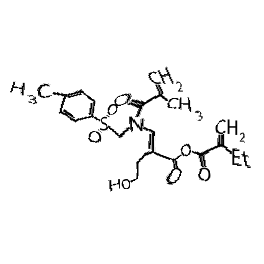 C=C(C)C(=O)N(C=C(CCO)C(=O)OC(=O)C(=C)CC)CS(=O)(=O)c1ccc(C)cc1